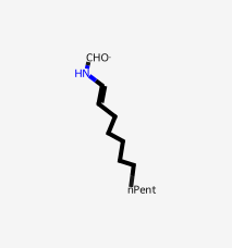 CCCCCCCCCC/C=C/N[C]=O